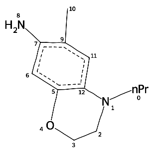 CCCN1CCOc2cc(N)c(C)cc21